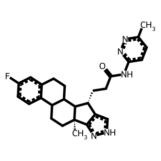 Cc1ccc(NC(=O)CC[C@@H]2c3c[nH]nc3[C@@]3(C)CCC4c5ccc(F)cc5CCC4C23)nn1